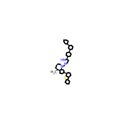 C=C1/C=C\C=C/N(/C=N/C=C\C(=N)c2ccc(-c3cccc(-c4ccccc4)c3)cc2)c2cc(-c3cccc4c3sc3ccccc34)ccc21